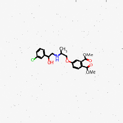 COC(=O)c1ccc(OCC(C)NCC(O)c2cccc(Cl)c2)cc1C(=O)OC